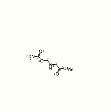 COC(=O)CNCOC(N)=O